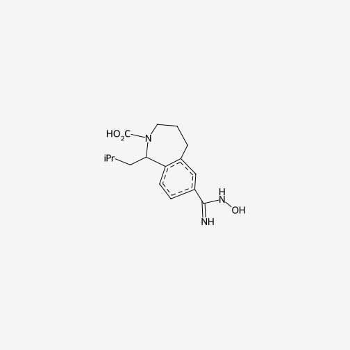 CC(C)CC1c2ccc(C(=N)NO)cc2CCCN1C(=O)O